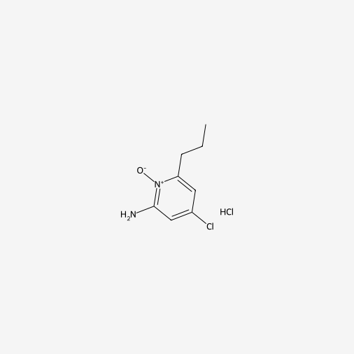 CCCc1cc(Cl)cc(N)[n+]1[O-].Cl